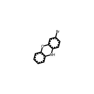 Brc1ccc2c(c1)Oc1ccccc1N2